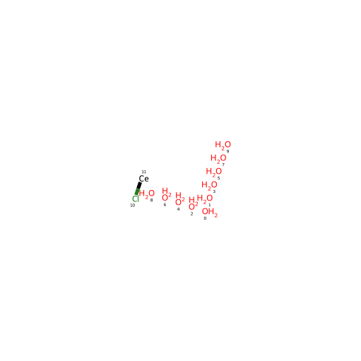 O.O.O.O.O.O.O.O.O.O.[Cl][Ce]